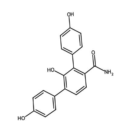 NC(=O)c1ccc(-c2ccc(O)cc2)c(O)c1-c1ccc(O)cc1